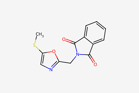 CSc1cnc(CN2C(=O)c3ccccc3C2=O)o1